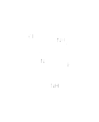 N=C(F)/N=C(\N)Cl